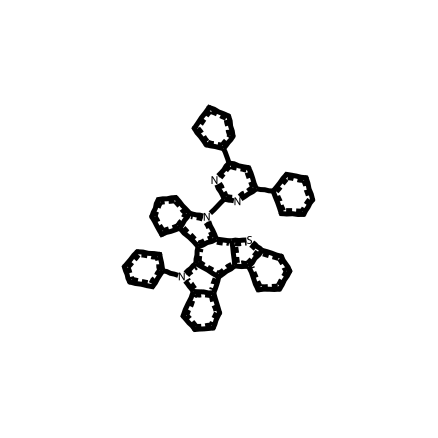 c1ccc(-c2cc(-c3ccccc3)nc(-n3c4ccccc4c4c3c3sc5ccccc5c3c3c5ccccc5n(-c5ccccc5)c34)n2)cc1